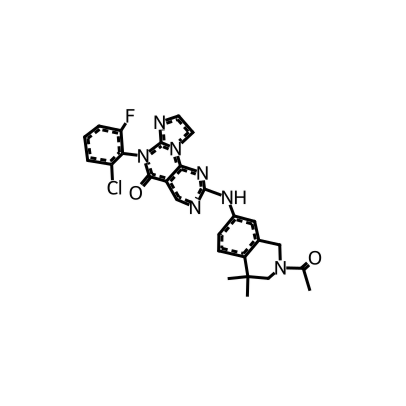 CC(=O)N1Cc2cc(Nc3ncc4c(=O)n(-c5c(F)cccc5Cl)c5nccn5c4n3)ccc2C(C)(C)C1